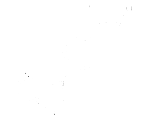 COC(=O)c1ccc([SH]2C=Nn3ccnc32)cc1